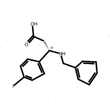 O=C(O)C[C@H](NCc1ccccc1)c1ccc(I)cc1